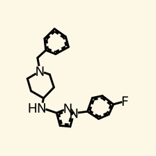 Fc1ccc(-n2ccc(NC3CCN(Cc4ccccc4)CC3)n2)cc1